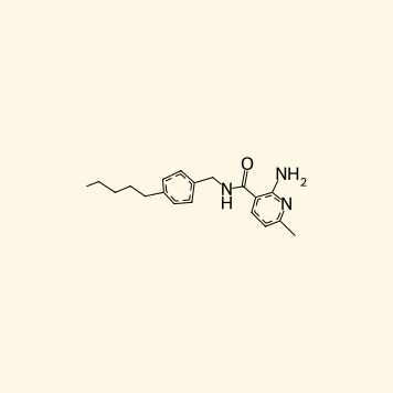 CCCCCc1ccc(CNC(=O)c2ccc(C)nc2N)cc1